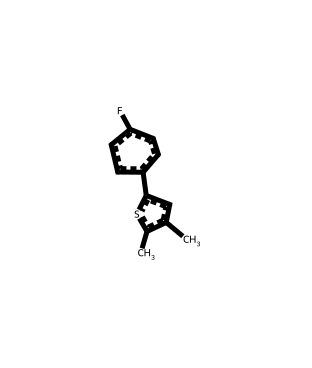 Cc1cc(-c2ccc(F)cc2)sc1C